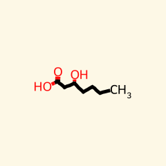 CCCCC(O)CC(=O)O